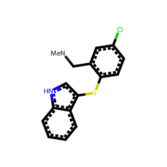 CNCc1cc(Cl)ccc1Sc1c[nH]c2ccccc12